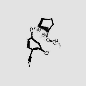 CO[C@H]1CCC[C@H]1Oc1ccc(C#N)c(Cl)c1